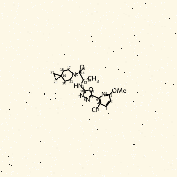 COc1ccc(Cl)c(-c2nnc(N[C@@H](C)C(=O)N3CCC4(CC3)CC4)o2)n1